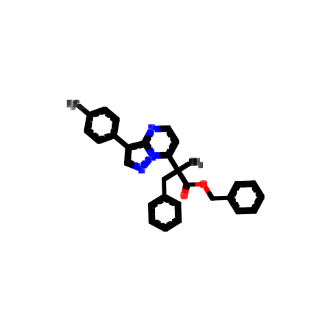 CC(Cc1ccccc1)(C(=O)OCc1ccccc1)c1ccnc2c(-c3ccc(C(F)(F)F)cc3)cnn12